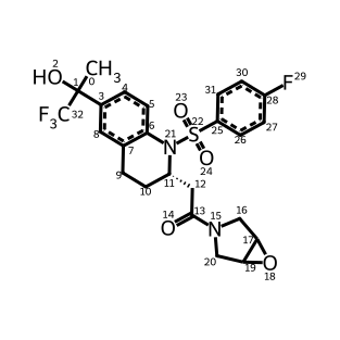 CC(O)(c1ccc2c(c1)CC[C@@H](CC(=O)N1CC3OC3C1)N2S(=O)(=O)c1ccc(F)cc1)C(F)(F)F